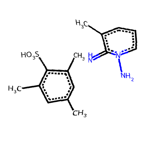 Cc1cc(C)c(S(=O)(=O)O)c(C)c1.Cc1cccn(N)c1=N